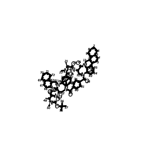 COc1ccc2ccccc2c1CN1C(=O)[C@@H](NC(=O)[C@H](C)N(C)C(=O)OC(C)(C)C)CN(C(=O)c2ccc(C(=O)N3C[C@H](NC(=O)[C@H](C)N(C)C(=O)OC(C)(C)C)C(=O)N(Cc4c(OC)ccc5ccccc45)c4ccccc43)cc2)c2ccccc21